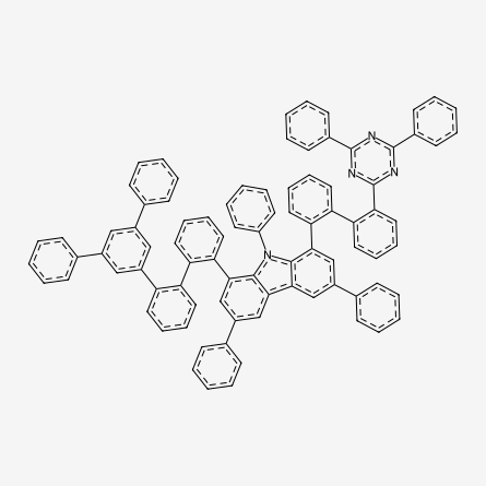 c1ccc(-c2cc(-c3ccccc3)cc(-c3ccccc3-c3ccccc3-c3cc(-c4ccccc4)cc4c5cc(-c6ccccc6)cc(-c6ccccc6-c6ccccc6-c6nc(-c7ccccc7)nc(-c7ccccc7)n6)c5n(-c5ccccc5)c34)c2)cc1